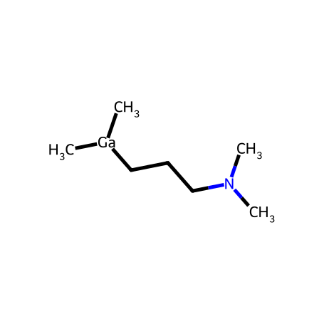 CN(C)CC[CH2][Ga]([CH3])[CH3]